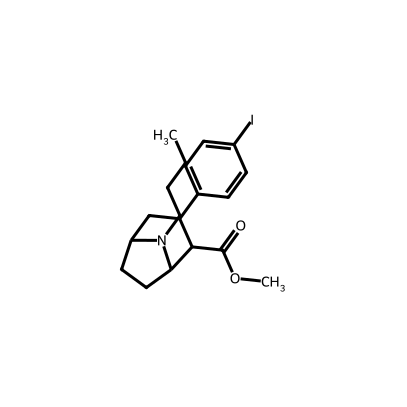 CCCCN1C2CCC1C(C(=O)OC)C(c1ccc(I)cc1)C2